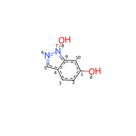 Oc1ccc2cnn(O)c2c1